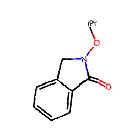 CC(C)ON1Cc2ccccc2C1=O